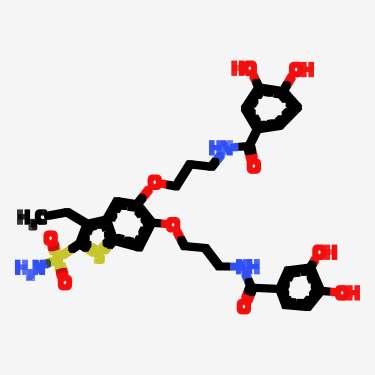 CCc1c(S(N)(=O)=O)sc2cc(OCCCNC(=O)c3ccc(O)c(O)c3)c(OCCCNC(=O)c3ccc(O)c(O)c3)cc12